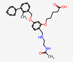 CC(=O)NCCNCc1ccc(OCc2cccc(-c3ccccc3)c2C)cc1OCCCCC(=O)O